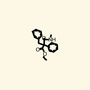 CCOC(=O)C(Cc1ccccc1)(C(=O)NC)c1ccccc1